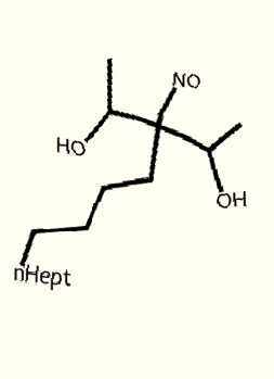 CCCCCCCCCCCC(N=O)(C(C)O)C(C)O